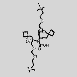 C[Si](C)(C)CCOCOCC(CC1(O)CCC1)N(C(=O)O)C(COCOCC[Si](C)(C)C)CC1(O)CCC1